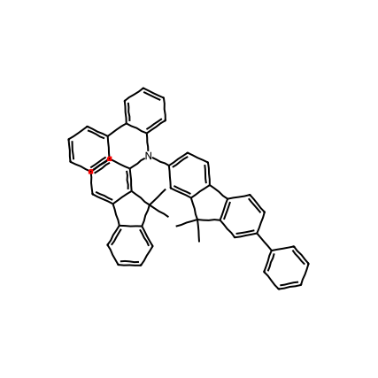 CC1(C)c2cc(-c3ccccc3)ccc2-c2ccc(N(c3ccccc3-c3ccccc3)c3cccc4c3C(C)(C)c3ccccc3-4)cc21